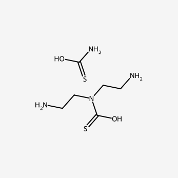 NC(O)=S.NCCN(CCN)C(O)=S